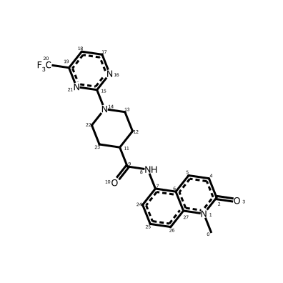 Cn1c(=O)ccc2c(NC(=O)C3CCN(c4nccc(C(F)(F)F)n4)CC3)cccc21